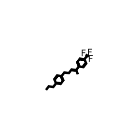 CCCc1ccc(CC/C=C(\C)c2ccc(C(F)(F)F)cc2)cc1